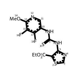 CCOC(=O)c1scnc1NC(=S)Nc1cnc(OC)c(F)c1F